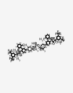 Cc1ccccc1-c1cc(N2CC[N+](C)(COP(O)OC[N+]3(C)CCN(c4cc(-c5ccccc5C)c(N(C)C(=O)C(C)(C)c5cc(C(F)(F)F)cc(C(F)(F)F)c5)cn4)CC3)CC2)ncc1N(C)C(=O)C(C)(C)c1cc(C(F)(F)F)cc(C(F)(F)F)c1